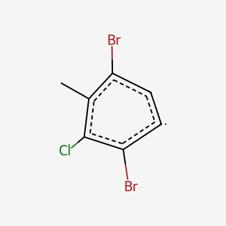 Cc1c(Br)c[c]c(Br)c1Cl